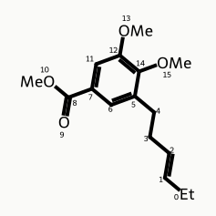 CCC=CCCc1cc(C(=O)OC)cc(OC)c1OC